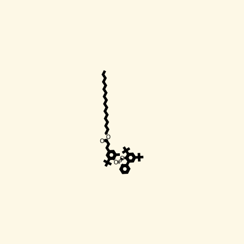 CCCCCCCCCCCCCCCCCCOC(=O)CCc1cc(C)c(OP2Oc3c(cc(C(C)(C)C)cc3C(C)(C)C)-c3ccccc32)c(C(C)(C)C)c1